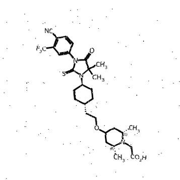 C[C@@H]1CC(OCC[C@H]2CC[C@H](N3C(=S)N(c4ccc(C#N)c(C(F)(F)F)c4)C(=O)C3(C)C)CC2)C[C@H](C)N1CC(=O)O